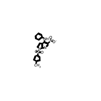 Cc1ccc(S(=O)(=O)n2ccc3c(Nc4ccccc4)c([N+](=O)[O-])cnc32)cc1